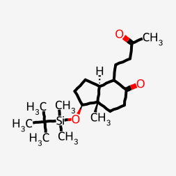 CC(=O)CCC1C(=O)CC[C@]2(C)[C@@H](O[Si](C)(C)C(C)(C)C)CC[C@@H]12